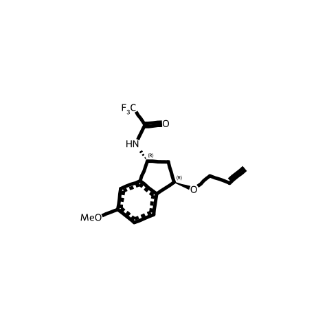 C=CCO[C@@H]1C[C@@H](NC(=O)C(F)(F)F)c2cc(OC)ccc21